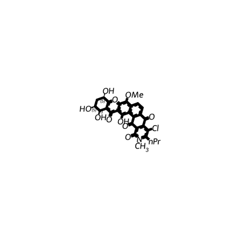 CCCc1c(Cl)c2c(c(=O)n1C)C(=O)c1c(ccc3c(OC)c4oc5c(c(=O)c4c(O)c13)[C@@H](O)[C@@H](O)C[C@@H]5O)C2=O